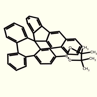 CC1(C)OB(c2ccc3c(c2)C2(c4ccccc4-c4ccccc4-3)c3ccccc3-c3cc4ccccc4cc32)OC1(C)C